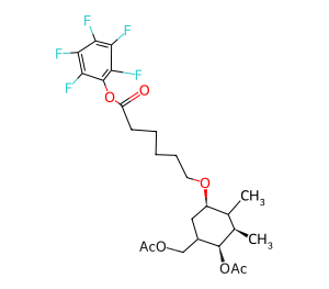 CC(=O)OCC1C[C@@H](OCCCCCC(=O)Oc2c(F)c(F)c(F)c(F)c2F)C(C)[C@@H](C)[C@H]1OC(C)=O